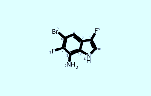 Nc1c(F)c(Br)cc2c(F)c[nH]c12